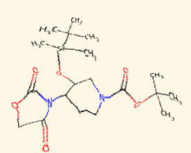 CC(C)(C)OC(=O)N1CCC(N2C(=O)COC2=O)C(O[Si](C)(C)C(C)(C)C)C1